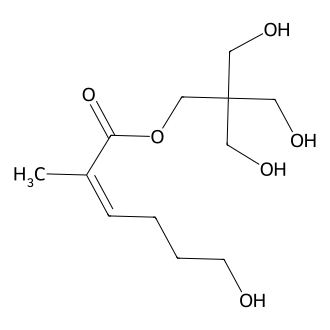 CC(=CCCCO)C(=O)OCC(CO)(CO)CO